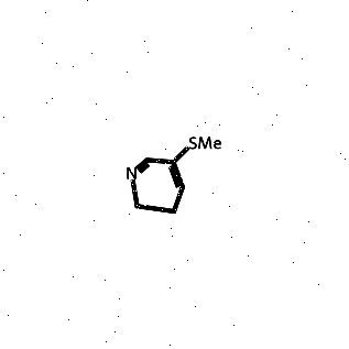 CSC1=CCCN=C1